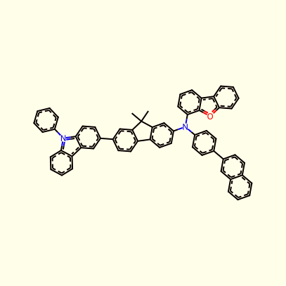 CC1(C)c2cc(-c3ccc4c(c3)c3ccccc3n4-c3ccccc3)ccc2-c2ccc(N(c3ccc(-c4ccc5ccccc5c4)cc3)c3cccc4c3oc3ccccc34)cc21